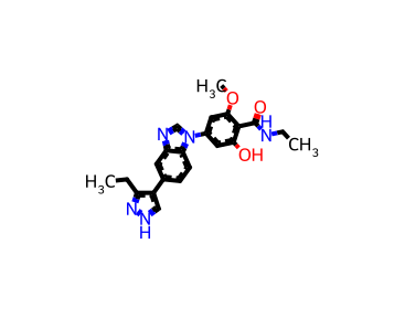 CCNC(=O)c1c(O)cc(-n2cnc3cc(-c4c[nH]nc4CC)ccc32)cc1OC